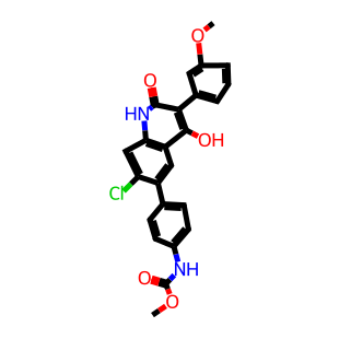 COC(=O)Nc1ccc(-c2cc3c(O)c(-c4cccc(OC)c4)c(=O)[nH]c3cc2Cl)cc1